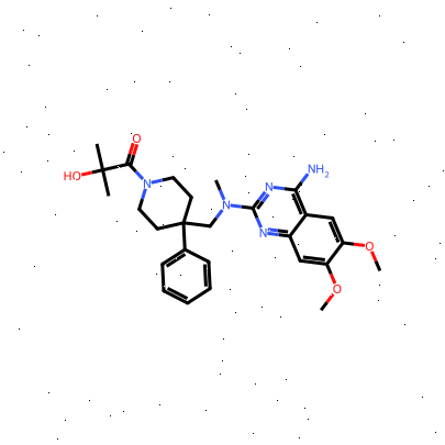 COc1cc2nc(N(C)CC3(c4ccccc4)CCN(C(=O)C(C)(C)O)CC3)nc(N)c2cc1OC